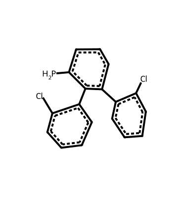 Pc1cccc(-c2ccccc2Cl)c1-c1ccccc1Cl